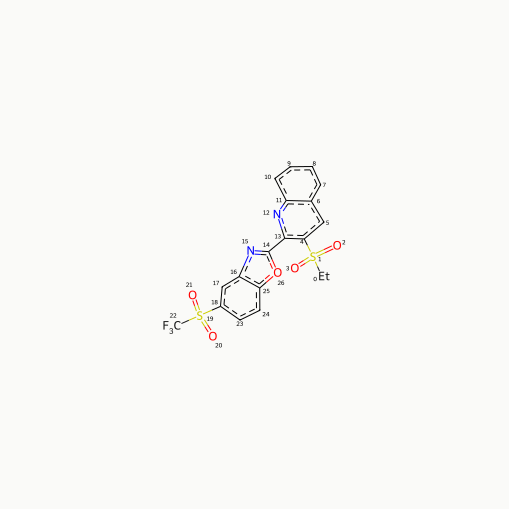 CCS(=O)(=O)c1cc2ccccc2nc1-c1nc2cc(S(=O)(=O)C(F)(F)F)ccc2o1